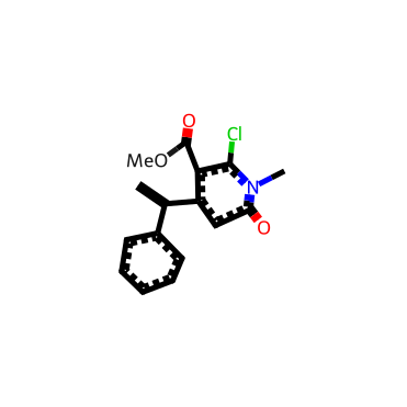 C=C(c1ccccc1)c1cc(=O)n(C)c(Cl)c1C(=O)OC